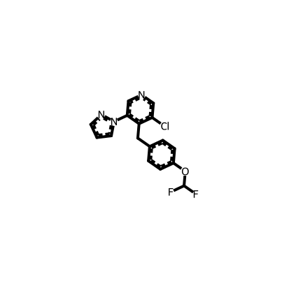 FC(F)Oc1ccc(Cc2c(Cl)cncc2-n2cccn2)cc1